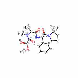 CC(C(=O)NC(C(=O)N1CCC[C@H]1C(=O)O)C1CCCCC1)N(C)C(=O)C(=O)OC(C)(C)C